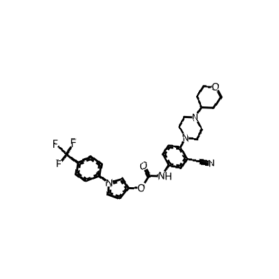 N#Cc1cc(NC(=O)Oc2ccn(-c3ccc(C(F)(F)F)cc3)c2)ccc1N1CCN(C2CCOCC2)CC1